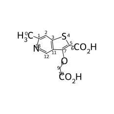 Cc1cc2sc(C(=O)O)c(OCC(=O)O)c2cn1